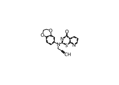 C#CCN(c1ccc2c(c1)OCCO2)c1nc(=O)c2cccnc2s1